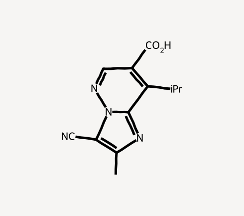 Cc1nc2c(C(C)C)c(C(=O)O)cnn2c1C#N